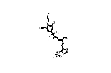 C=C/C(=C\C=C(/C)C(C)(C)c1cc(Cl)c(OCCCl)c(C#N)c1)OCc1ncsc1NS(C)(=O)=O